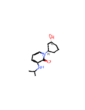 CC(C)Nc1cccn([C@@H]2CCC[C@@H](O)C2)c1=O